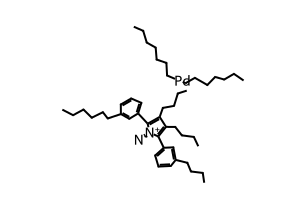 CCCCCC[CH2][Pd][CH2]CCCCCC.CCCCCCc1cccc(C2=C(CCCC)C(CCCC)=C(c3cccc(CCCC)c3)[N+]2=[N-])c1